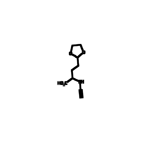 C#CNC(CCC1OCCO1)C(=O)O